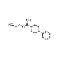 OCCOB(O)c1ccc(-c2ccccc2)cc1